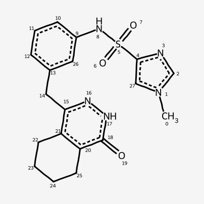 Cn1cnc(S(=O)(=O)Nc2cccc(Cc3n[nH]c(=O)c4c3CCCC4)c2)c1